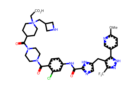 COc1ccc(-c2[nH]nc(C(F)(F)F)c2Cc2cnc(C(=O)Nc3ccc(C(=O)N4CCN(C(=O)C5CC[N+](CC(=O)O)(CC6CNC6)CC5)CC4)c(Cl)c3)[nH]2)cn1